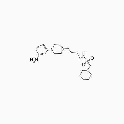 Nc1cccc(N2CCN(CCCCNS(=O)(=O)CC3CCCCC3)CC2)c1